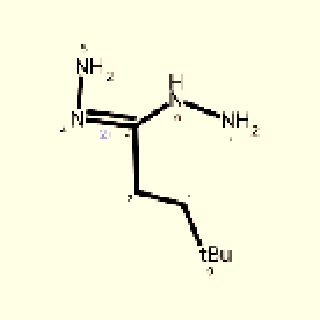 CC(C)(C)CC/C(=N/N)NN